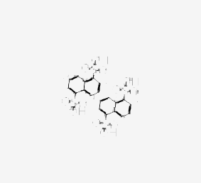 O=S(=O)(O)c1cccc2c(S(=O)(=O)O)cccc12.O=S(=O)(O)c1cccc2c(S(=O)(=O)O)cccc12